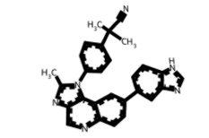 Cc1nc2cnc3ccc(-c4ccc5[nH]cnc5c4)cc3c2n1-c1ccc(C(C)(C)C#N)cc1